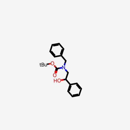 CC(C)(C)OC(=O)N(Cc1ccccc1)CC(O)c1ccccc1